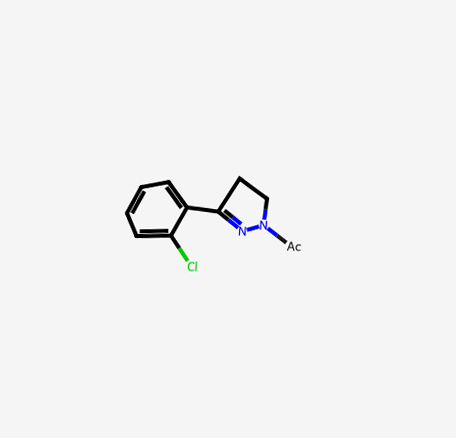 CC(=O)N1CCC(c2ccccc2Cl)=N1